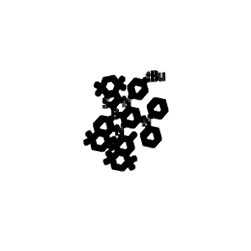 Cc1cc2c(cc1N1c3cc(N(c4ccccc4)c4ccccc4)cc4c3B(c3ccc5c(c31)C(C)(C)CCC5(C)C)c1sc3c(c1N4c1ccc(C(C)(C)C)cc1)C(C)(C)CCC3(C)C)C(C)(C)CCC2(C)C